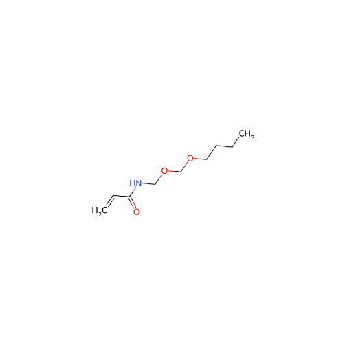 C=CC(=O)NCOCOCCCC